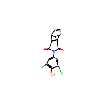 O=C1C2C3C=CC(C3)C2C(=O)N1c1cc(Cl)c(O)c(Cl)c1